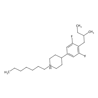 CCCCCCC[SiH]1CCC(c2cc(F)c(CC(C)CC)c(F)c2)CC1